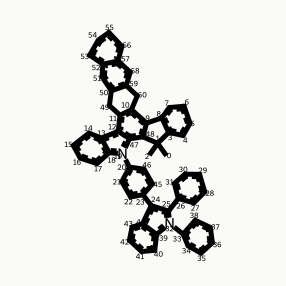 CC1(C)c2ccccc2-c2c3c(c4c5ccccc5n(-c5ccc(-c6c(-c7ccccc7)n(-c7ccccc7)c7ccccc67)cc5)c4c21)Cc1cc2ccccc2cc1C3